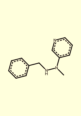 CN(NCc1ccccc1)c1cccnc1